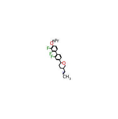 C/C=C/C1CCC(c2ccc(-c3ccc(OCCC)c(F)c3F)c(F)c2)OC1